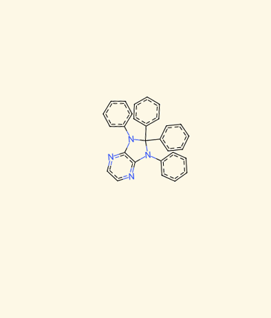 c1ccc(N2c3nccnc3N(c3ccccc3)C2(c2ccccc2)c2ccccc2)cc1